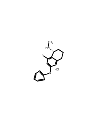 CN[C@@H]1CCCc2cc(Sc3ccccc3)cc(F)c21.Cl